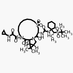 C[C@H](C1(NC(=O)N[C@H]2CS(=O)(=O)CCCCCCC[C@@H](C(=O)C(=O)NC3CC3)NC(=O)[C@@H]3[C@@H]4[C@H](CN3C2=O)C4(C)C)CCCCC1)S(=O)(=O)C(C)(C)C